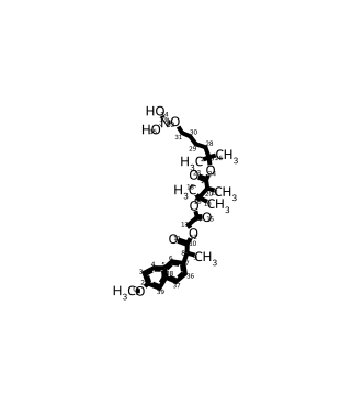 COc1ccc2cc(C(C)C(=O)OCC(=O)OC(C)(C)C(C)C(=O)OC(C)(C)CCCCON(O)O)ccc2c1